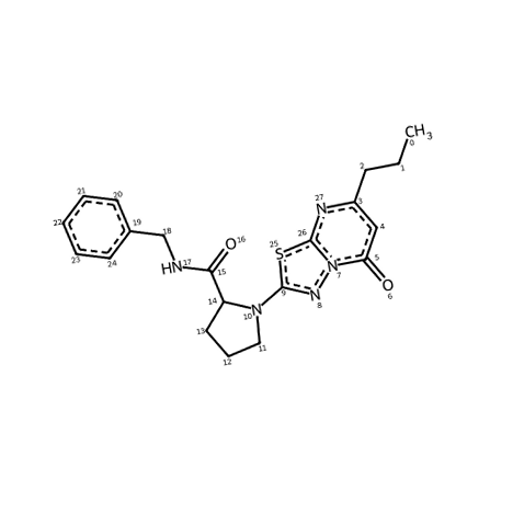 CCCc1cc(=O)n2nc(N3CCCC3C(=O)NCc3ccccc3)sc2n1